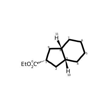 CCOC(=O)[C@H]1C[C@H]2CCCC[C@H]2C1